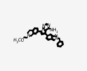 COCCN1CCc2ccc(-c3cc(-c4ccc5cn(Cc6ccccc6)nc5c4)c4c(N)ncnn34)cc2C1